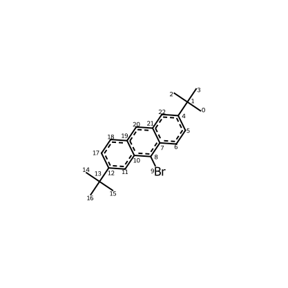 CC(C)(C)c1ccc2c(Br)c3cc(C(C)(C)C)ccc3cc2c1